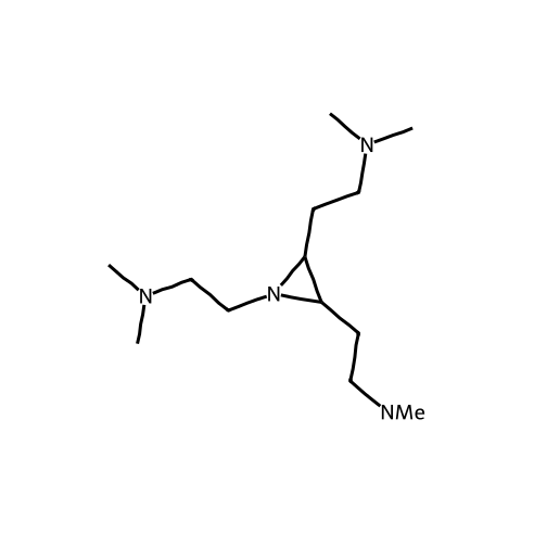 CNCCC1C(CCN(C)C)N1CCN(C)C